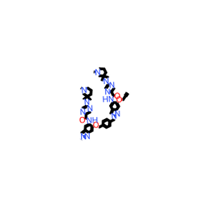 C#CCOc1cc2nn(Cc3ccc(COc4cc5nn(C)cc5cc4NC(=O)c4cnc(N5CC6(CCCN(C)C6)C5)cn4)cc3)cc2cc1NC(=O)c1cnc(N2CC3(CCCN(C)C3)C2)cn1